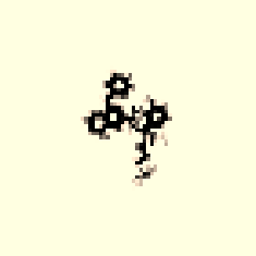 Cc1cccc2c(NCCCN(C)C)nc(-c3cc(Cc4ccccc4)c4ccccc4c3)nc12